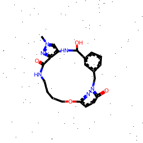 Cn1cc2c(n1)C(=O)NCCCCOc1ccc(=O)n(n1)Cc1cccc(c1)C(O)N2